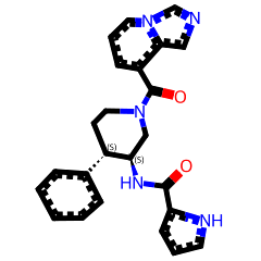 O=C(N[C@@H]1CN(C(=O)c2cccn3cncc23)CC[C@H]1c1ccccc1)c1ccc[nH]1